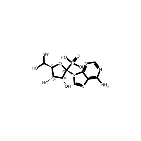 CCCC(O)[C@H]1O[C@](n2cnc3c(N)ncnc32)(P(=O)(O)O)[C@H](O)[C@@H]1O